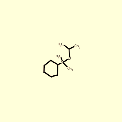 CC(C)O[Si](C)(C)C1CCCCC1